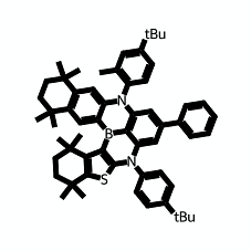 Cc1cc(C(C)(C)C)ccc1N1c2cc3c(cc2B2c4c1cc(-c1ccccc1)cc4N(c1ccc(C(C)(C)C)cc1)c1sc4c(c12)C(C)(C)CCC4(C)C)C(C)(C)CCC3(C)C